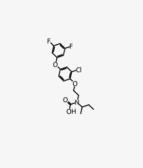 CCC(C)N(CCOc1ccc(Oc2cc(F)cc(F)c2)cc1Cl)C(=O)O